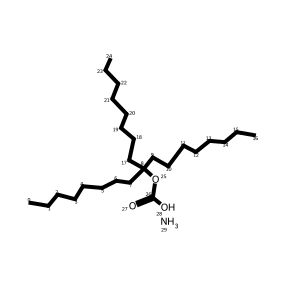 CCCCCCCCC(CCCCCCCC)(CCCCCCCC)OC(=O)O.N